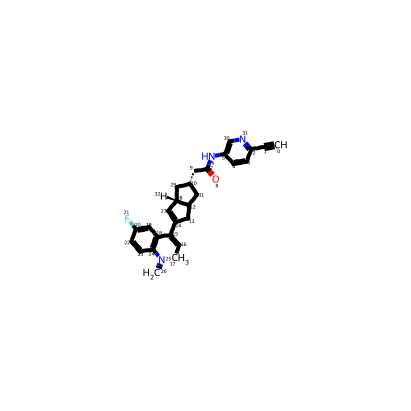 C#Cc1ccc(NC(=O)C[C@@H]2CC3CC(/C(=C/C)c4cc(F)ccc4N=C)=C[C@@H]3C2)cn1